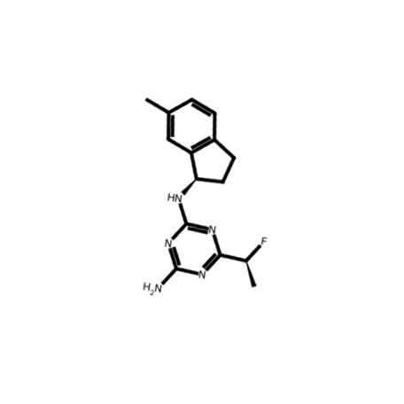 Cc1ccc2c(c1)[C@H](Nc1nc(N)nc([C@H](C)F)n1)CC2